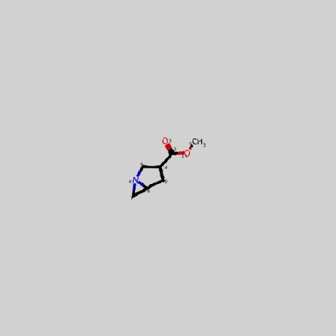 COC(=O)C1CC2CN2C1